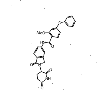 COc1cc(Oc2ccccc2)ccc1C(=O)Nc1ccc2c(c1)CN(C1CCC(=O)NC1=O)C2=O